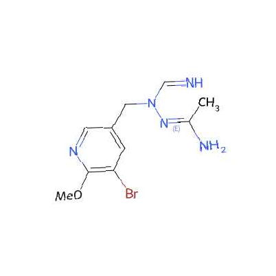 COc1ncc(CN(C=N)/N=C(\C)N)cc1Br